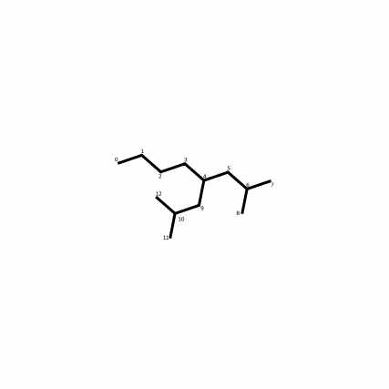 CCCCC(CC(C)C)CC(C)C